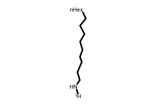 [2H]NCCCCCCCCCCCCCCC